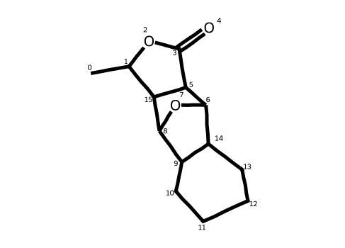 CC1OC(=O)C2C3OC(C4CCCCC43)C12